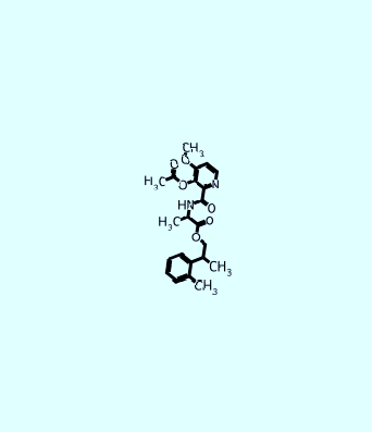 COc1ccnc(C(=O)NC(C)C(=O)OCC(C)c2ccccc2C)c1OC(C)=O